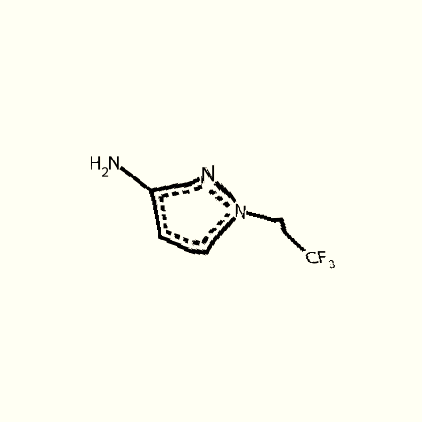 Nc1ccn(CC(F)(F)F)n1